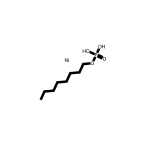 CCCCCCCCOP(=O)(O)O.[Ni]